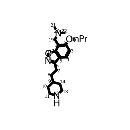 CCCOc1ccc2c(CCC3CCNCC3)noc2c1CN(C)C